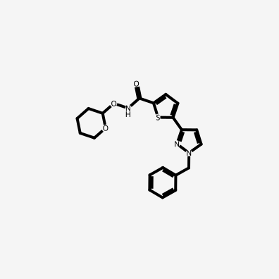 O=C(NOC1CCCCO1)c1ccc(-c2ccn(Cc3ccccc3)n2)s1